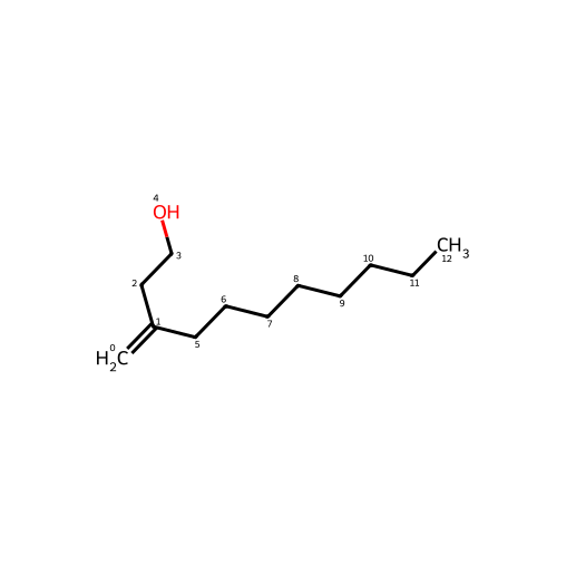 C=C(CCO)CCCCCCCC